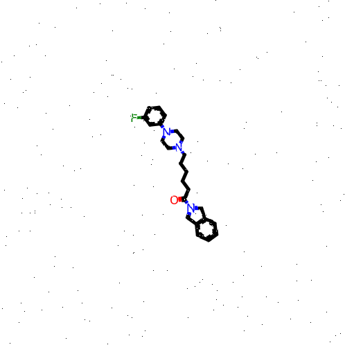 O=C(CCCCCN1CCN(c2cccc(F)c2)CC1)N1Cc2ccccc2C1